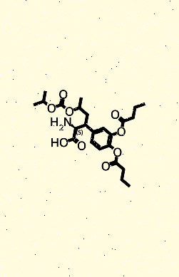 CCCC(=O)Oc1ccc(C(CC(C)OC(=O)OC(C)C)[C@H](N)C(=O)O)cc1OC(=O)CCC